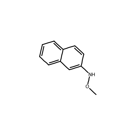 CONc1ccc2ccccc2c1